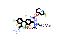 COCCN1c2nc(OC[C@@]34CCCN3C[C@H](F)C4)nc3c(F)c(-c4ccc(F)c5sc(N)c(C#N)c45)c(Cl)c(c23)OC[C@@H]1C